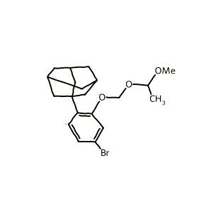 COC(C)OCOc1cc(Br)c[c]c1C12CC3CC(CC(C3)C1)C2